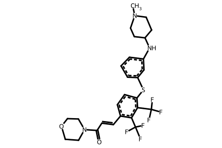 CN1CCC(Nc2cccc(Sc3ccc(C=CC(=O)N4CCOCC4)c(C(F)(F)F)c3C(F)(F)F)c2)CC1